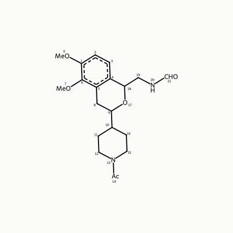 COc1ccc2c(c1OC)CC(C1CCN(C(C)=O)CC1)OC2CNC=O